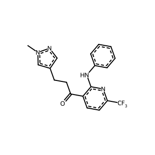 Cn1cc(CCC(=O)c2ccc(C(F)(F)F)nc2Nc2ccccc2)cn1